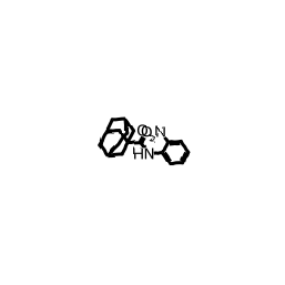 O=C(Nc1ccccc1[N+](=O)[O-])C12CC3CC(CC(C3)C1)C2